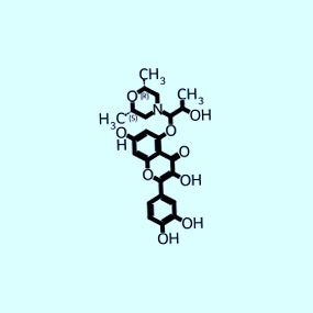 CC(O)C(Oc1cc(O)cc2oc(-c3ccc(O)c(O)c3)c(O)c(=O)c12)N1C[C@@H](C)O[C@@H](C)C1